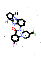 O=C(Nc1cccc2c1nc1n2[C@H]2CC[C@@H]1C2)c1ccc(I)cc1N1CCC(=C(F)F)CC1